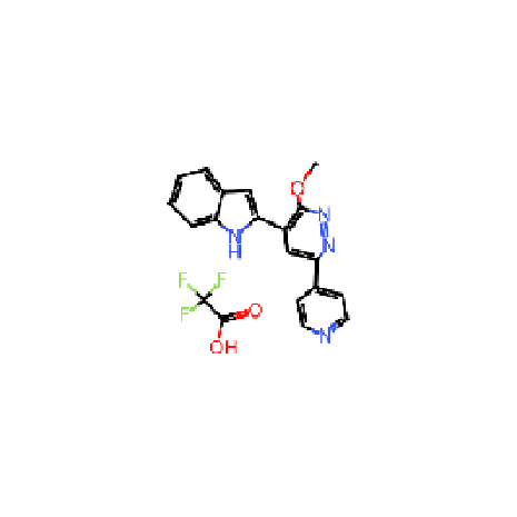 COc1nnc(-c2ccncc2)cc1-c1cc2ccccc2[nH]1.O=C(O)C(F)(F)F